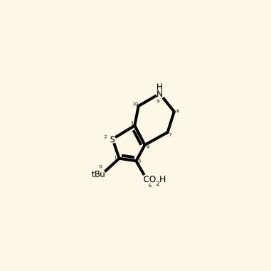 CC(C)(C)c1sc2c(c1C(=O)O)CCNC2